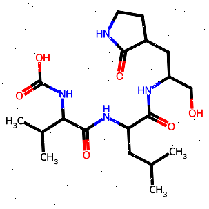 CC(C)CC(NC(=O)C(NC(=O)O)C(C)C)C(=O)NC(CO)CC1CCNC1=O